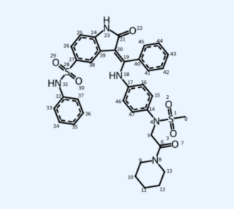 CS(=O)(=O)N(CC(=O)N1CCCCC1)c1ccc(NC(=C2C(=O)Nc3ccc(S(=O)(=O)Nc4ccccc4)cc32)c2ccccc2)cc1